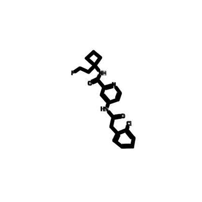 O=C(Cc1ccccc1Cl)Nc1ccnc(C(=O)NC2(CCF)CCC2)c1